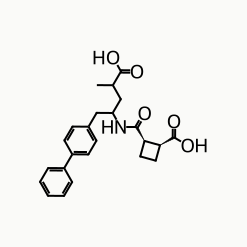 CC(CC(Cc1ccc(-c2ccccc2)cc1)NC(=O)[C@@H]1CC[C@@H]1C(=O)O)C(=O)O